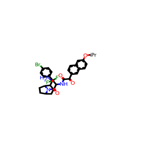 CC(C)Oc1ccc2cc(C(=O)C(=O)NC(C(=O)N3C4CCC(CN)C3CC4)C(F)(F)c3ccc(Br)cc3)ccc2c1